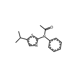 CC(=O)N(c1ccccc1)c1ncc(C(C)C)s1